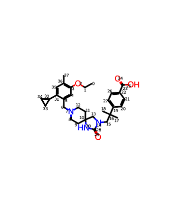 CCOc1cc(CN2CCC3(CC2)CN(CC(C)(C)c2ccc(C(=O)O)cc2)C(=O)N3)c(C2CC2)cc1C